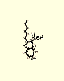 CCCCCCC(Sc1ccc(F)cc1)C(=O)NO